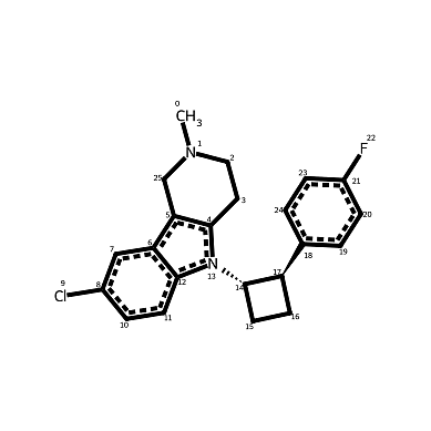 CN1CCc2c(c3cc(Cl)ccc3n2[C@H]2CC[C@@H]2c2ccc(F)cc2)C1